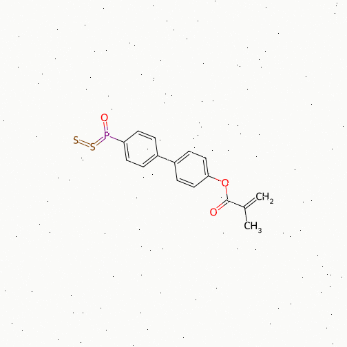 C=C(C)C(=O)Oc1ccc(-c2ccc(P(=O)=S=S)cc2)cc1